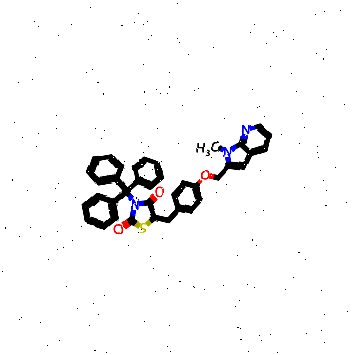 Cn1c(COc2ccc(CC3SC(=O)N(C(c4ccccc4)(c4ccccc4)c4ccccc4)C3=O)cc2)cc2cccnc21